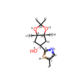 Cc1cnc([C@@]2(O)C[C@@H]3OC(C)(C)O[C@@H]3C2)s1